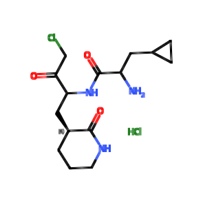 Cl.NC(CC1CC1)C(=O)NC(C[C@@H]1CCCNC1=O)C(=O)CCl